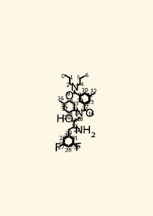 CCCN(CCC)C(=O)c1cc(C)cc(C(=O)N(C[C@@H](O)[C@@H](N)Cc2cc(F)cc(F)c2)C2CCC(C)CC2)c1